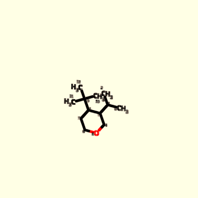 CC(C)C1COCCC1C(C)(C)C